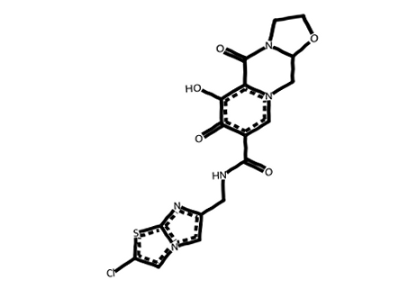 O=C(NCc1cn2cc(Cl)sc2n1)c1cn2c(c(O)c1=O)C(=O)N1CCOC1C2